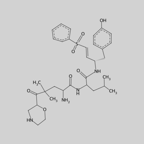 CC(C)CC(NC(=O)C(N)CC(C)(C)C(=O)C1CNCCO1)C(=O)N[C@H](/C=C/S(=O)(=O)c1ccccc1)Cc1ccc(O)cc1